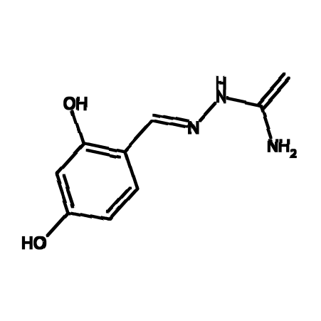 C=C(N)N/N=C/c1ccc(O)cc1O